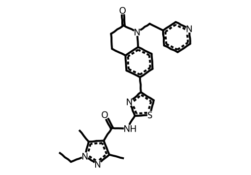 CCn1nc(C)c(C(=O)Nc2nc(-c3ccc4c(c3)CCC(=O)N4Cc3cccnc3)cs2)c1C